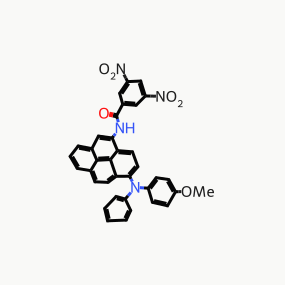 COc1ccc(N(c2ccccc2)c2ccc3c(NC(=O)c4cc([N+](=O)[O-])cc([N+](=O)[O-])c4)cc4cccc5ccc2c3c54)cc1